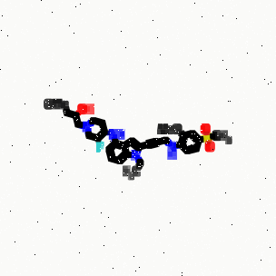 COC[C@H](O)CN1CC[C@H](Nc2cccc3c2cc(C#CCNc2ccc(S(C)(=O)=O)cc2OC)n3CC(F)(F)F)[C@@H](F)C1